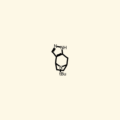 CC(C)(C)N1C2CCC1c1cn[nH]c1C2